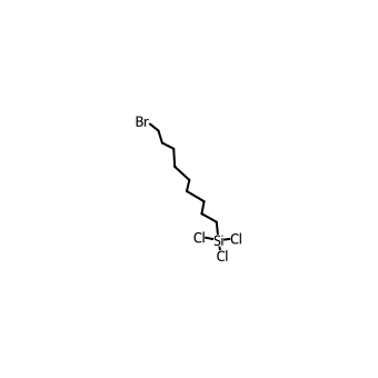 Cl[Si](Cl)(Cl)CCCCCCCCCBr